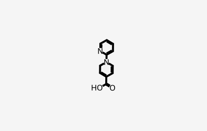 O=C(O)C1=CCN(c2ccccn2)C=C1